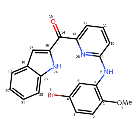 COc1ccc(Br)cc1Nc1cccc(C(=O)c2cc3ccccc3[nH]2)n1